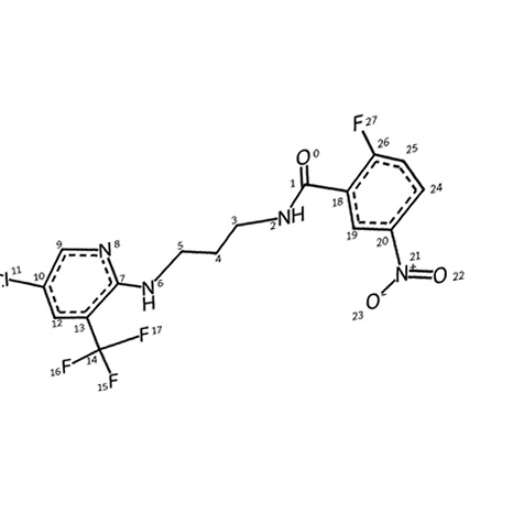 O=C(NCCCNc1ncc(Cl)cc1C(F)(F)F)c1cc([N+](=O)[O-])ccc1F